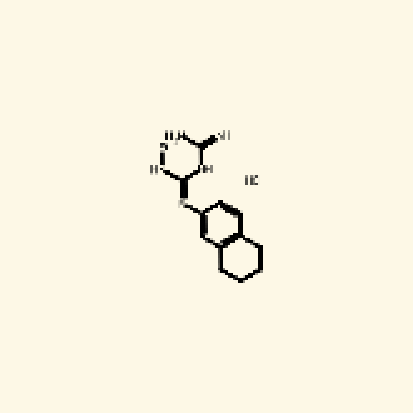 CCNC(=Nc1ccc2c(c1)CCCC2)NC(=N)N.Cl